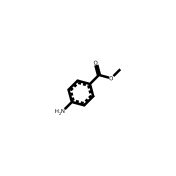 COC(=O)c1[c]cc(N)cc1